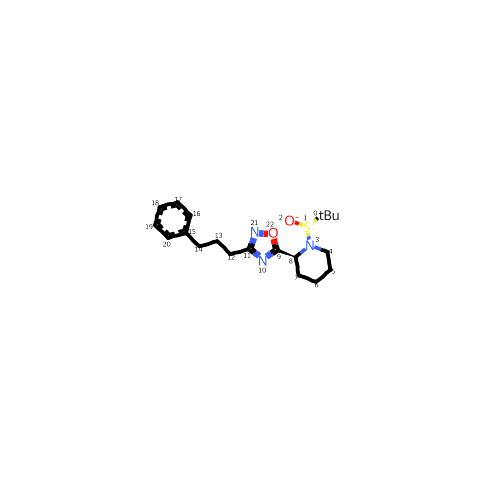 CC(C)(C)[S+]([O-])N1CCCC[C@H]1c1nc(CCCc2ccccc2)no1